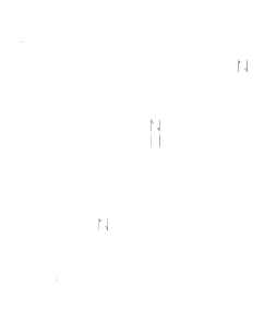 COc1ccc(-c2cc(Cl)cc3c2[nH]c2c(C)nccc23)c(C)n1